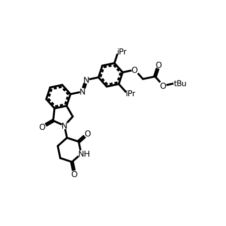 CC(C)c1cc(/N=N/c2cccc3c2CN(C2CCC(=O)NC2=O)C3=O)cc(C(C)C)c1OCC(=O)OC(C)(C)C